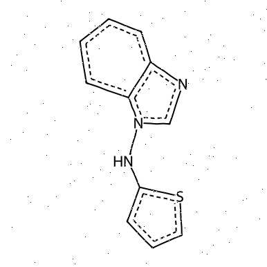 c1csc(Nn2cnc3ccccc32)c1